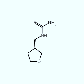 NC(=S)NC[C@@H]1CCOC1